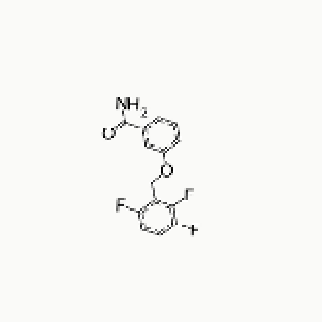 NC(=O)c1cccc(OCc2c(F)ccc(F)c2F)c1